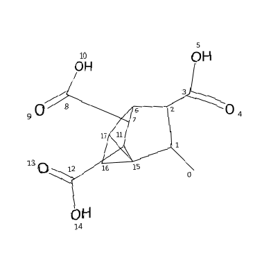 CC1C(C(=O)O)C2C(C(=O)O)C(C(=O)O)C13CC23